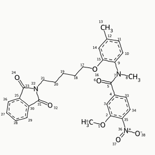 COc1cc(C(=O)N(C)c2ccc(C)cc2OCCCCCN2C(=O)c3ccccc3C2=O)ccc1[N+](=O)[O-]